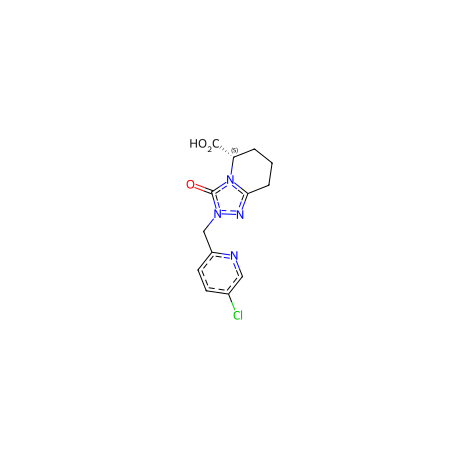 O=C(O)[C@@H]1CCCc2nn(Cc3ccc(Cl)cn3)c(=O)n21